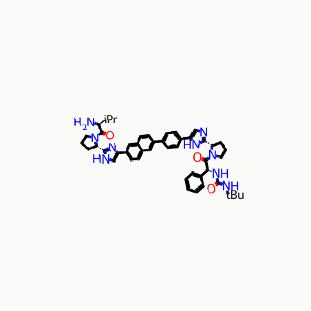 CC(C)[C@H](N)C(=O)N1CCC[C@H]1c1nc(-c2ccc3cc(-c4ccc(-c5cnc([C@@H]6CCCN6C(=O)[C@H](NC(=O)NC(C)(C)C)c6ccccc6)[nH]5)cc4)ccc3c2)c[nH]1